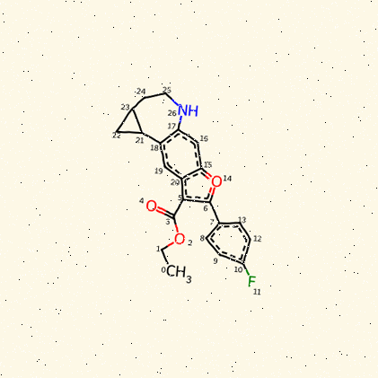 CCOC(=O)c1c(-c2ccc(F)cc2)oc2cc3c(cc12)C1CC1CCN3